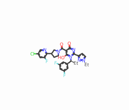 CC[C@@H](c1cc(F)cc(F)c1)n1c(-c2ccn(CC)n2)nc(=O)c(C(=O)N2CCC(c3ncc(Cl)cc3F)C2)c1O